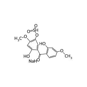 COc1ccc(C(=O)c2cc(O[SH](=O)=O)c(OC)cc2O)c(O)c1.[NaH]